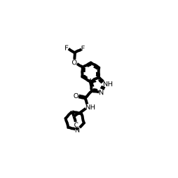 O=C(NC1CN2CCC1CC2)c1n[nH]c2ccc(OC(F)F)cc12